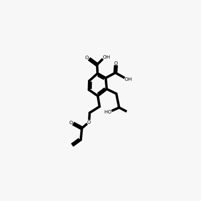 C=CC(=O)OCCc1ccc(C(=O)O)c(C(=O)O)c1CC(C)O